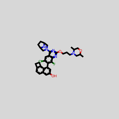 CC1CN(CCCOc2nc(N3CC4CCC(C3)N4)c3cc(Cl)c(-c4cc(O)cc5ccc6c(c45)CC6)c(F)c3n2)C(C)CO1